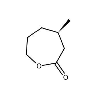 C[C@@H]1CCCOC(=O)C1